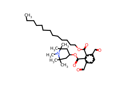 CCCCCCCCCCCCCOC(=O)c1c(C=O)ccc(C=O)c1C(=O)OC1CC(C)(C)N(C)C(C)(C)C1